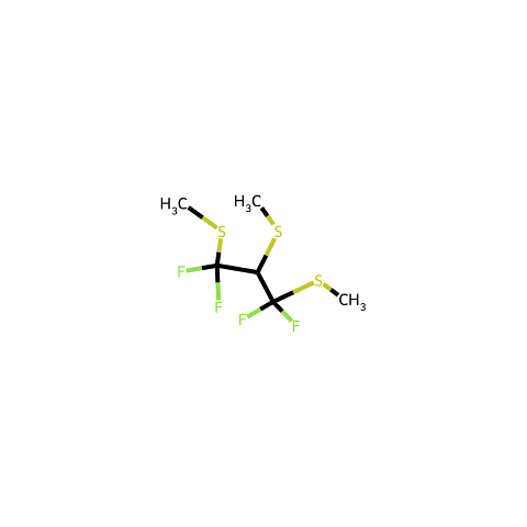 CSC(C(F)(F)SC)C(F)(F)SC